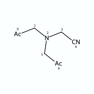 CC(=O)CN(CC#N)CC(C)=O